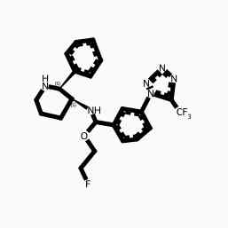 FCCOC(N[C@H]1CCCN[C@H]1c1ccccc1)c1cccc(-n2nnnc2C(F)(F)F)c1